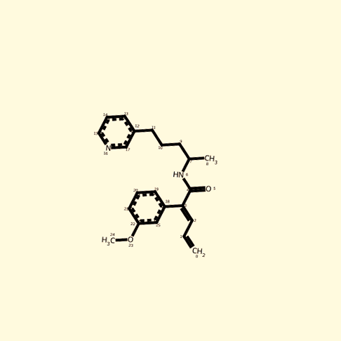 C=CC=C(C(=O)NC(C)CCCc1cccnc1)c1cccc(OC)c1